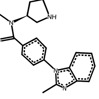 Cc1nc2ccccc2n1-c1ccc(C(=O)N(C)[C@H]2CCNC2)cc1